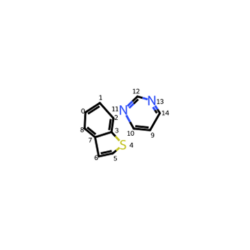 c1ccc2sccc2c1.c1cncnc1